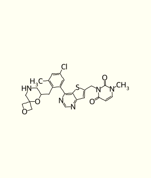 Cc1cc(Cl)cc(-c2ncnc3cc(Cn4c(=O)ccn(C)c4=O)sc23)c1CC1CNCC2(COC2)O1